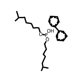 CC(C)CCCCCOP(O)OCCCCCC(C)C.c1ccc(-c2ccccc2)cc1